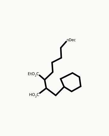 CCCCCCCCCCCCCCC(C(=O)OCC)C(CC1CCCCC1)C(=O)O